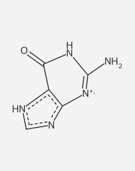 NC1=[N+]c2nc[nH]c2C(=O)N1